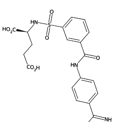 N=C(N)c1ccc(NC(=O)c2cccc(S(=O)(=O)N[C@@H](CCC(=O)O)C(=O)O)c2)cc1